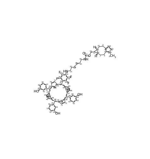 Cn1nnc2c1CC[C@H]1[C@@H](CC2)[C@@H]1COC(=O)NCCSSCCNc1c(F)c(F)c(-c2c3nc(c(-c4cccc(O)c4)c4ccc([nH]4)c(-c4cccc(O)c4)c4nc(c(-c5cccc(O)c5)c5ccc2[nH]5)C=C4)C=C3)c(F)c1F